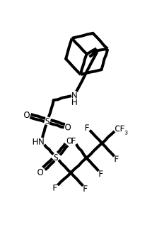 O=S(=O)(CNC1=C2C3CC(C1)CC2C3)NS(=O)(=O)C(F)(F)C(F)(F)C(F)(F)C(F)(F)F